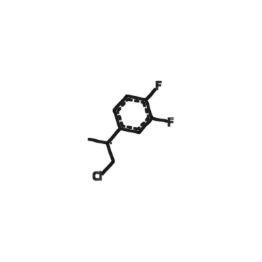 C[C](CCl)c1ccc(F)c(F)c1